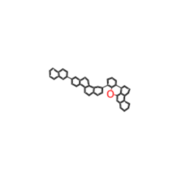 c1cc(-c2ccc3ccc4c5ccc(-c6ccc7ccccc7c6)cc5ccc4c3c2)c2c(c1)-c1cccc3c1c(cc1ccccc13)O2